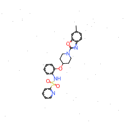 Cc1ccc2nc(N3CCC(Oc4ccccc4NS(=O)(=O)c4ccccn4)CC3)oc2c1